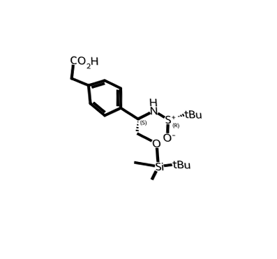 CC(C)(C)[S@+]([O-])N[C@H](CO[Si](C)(C)C(C)(C)C)c1ccc(CC(=O)O)cc1